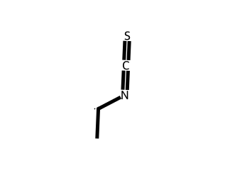 C[CH]N=C=S